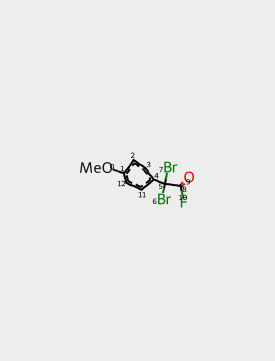 COc1ccc(C(Br)(Br)C(=O)F)cc1